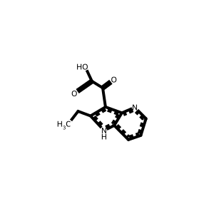 CCc1[nH]c2cccnc2c1C(=O)C(=O)O